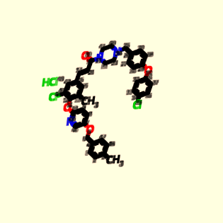 Cc1ccc(COc2ccc(Oc3c(C)cc(C=CC(=O)N4CCN(Cc5ccc(Oc6ccc(Cl)cc6)cc5)CC4)cc3Cl)nc2)cc1.Cl